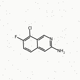 Nc1cc2ccc(F)c(Cl)c2cn1